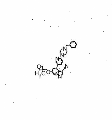 CC1(COc2cc(-c3ccc(N4CCN(Cc5ccccc5)CC4)nc3)c3c(C#N)cnn3c2)COC1